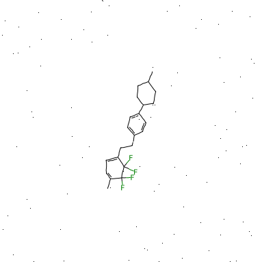 CC1=CC=C(CCc2ccc(C3CCC(C)CC3)cc2)C(F)(F)C1(F)F